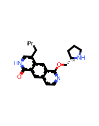 CC(C)Cc1c[nH]c(=O)c2cc3ccnc(OC[C@@H]4CCCN4)c3cc12